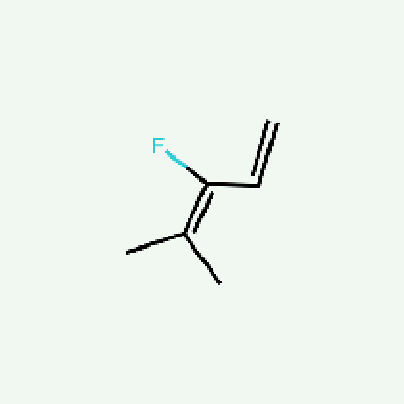 C=CC(F)=C(C)C